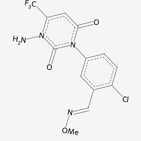 CON=Cc1cc(-n2c(=O)cc(C(F)(F)F)n(N)c2=O)ccc1Cl